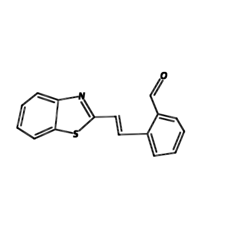 O=Cc1ccccc1/C=C/c1nc2ccccc2s1